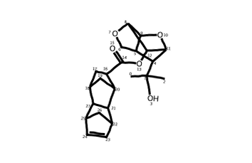 CC(C)(O)C1C2COC3C2OC1C3OC(=O)C1CC2CC1C1C3C=CC(C3)C21